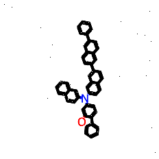 c1ccc(-c2ccc3cc(-c4ccc5ccc(N(c6ccc7ccccc7c6)c6ccc7c(c6)oc6ccccc67)cc5c4)ccc3c2)cc1